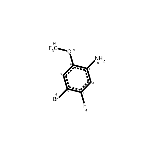 Nc1cc(F)c(Br)cc1OC(F)(F)F